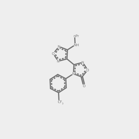 [CH2]CCNc1nonc1-c1noc(=O)n1-c1cccc(C(F)(F)F)c1